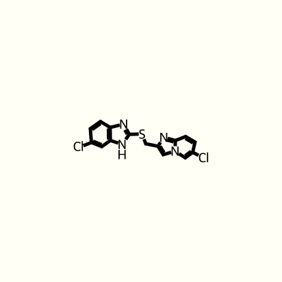 Clc1ccc2nc(SCc3cn4cc(Cl)ccc4n3)[nH]c2c1